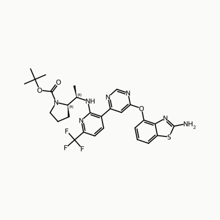 C[C@@H](Nc1nc(C(F)(F)F)ccc1-c1cc(Oc2cccc3sc(N)nc23)ncn1)[C@H]1CCCN1C(=O)OC(C)(C)C